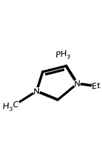 CCN1C=CN(C)C1.P